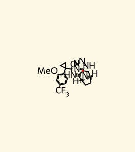 COc1cc(C(F)(F)F)ccc1C1(C(=O)N[C@H]2CC[C@@H]3CC[C@H]2N3c2nnn[nH]2)CC1